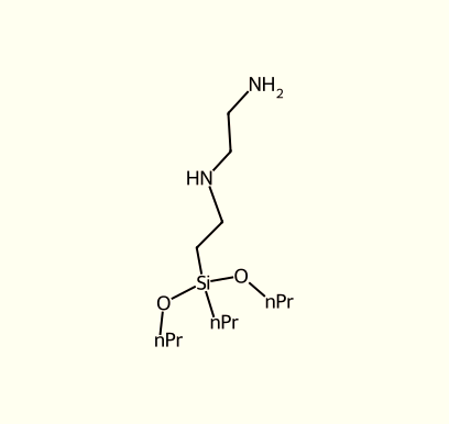 CCCO[Si](CCC)(CCNCCN)OCCC